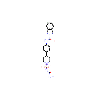 NC(=O)NS(=O)(=O)N1CCC(c2ccc(NC(=O)N3Cc4ccc(F)cc4C3)cc2)CC1